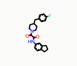 O=C(Nc1ccc2c(c1)CCC2)C(=O)N1CCC(Cc2ccc(F)cc2)CC1